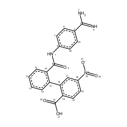 N=C(N)c1ccc(NC(=O)c2ccccc2-c2cc([N+](=O)[O-])ccc2C(=O)O)cc1